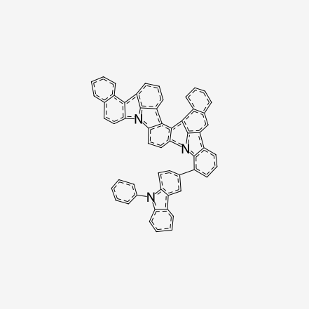 c1ccc(-n2c3ccccc3c3cc(-c4cccc5c6cc7ccccc7c7c8c9c%10cccc%11c%12c%13ccccc%13ccc%12n(c9ccc8n(c45)c67)c%11%10)ccc32)cc1